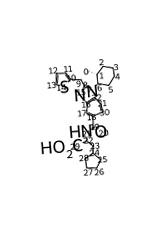 C[C@@H]1CCCCC1n1c(Cc2cccs2)nc2cc(C(=O)NC(CC3CCCC3)C(=O)O)ccc21